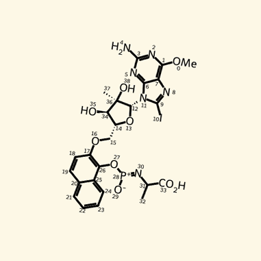 COc1nc(N)nc2c1nc(I)n2[C@@H]1O[C@H](COc2ccc3ccccc3c2O/[P+]([O-])=N/C(C)C(=O)O)[C@@H](O)[C@@]1(C)O